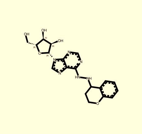 OC[C@H]1O[C@@H](n2cnc3c(NNC4CCOc5ccccc54)ncnc32)[C@H](O)[C@@H]1O